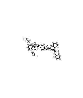 O=S(=O)(NC[C@H]1CC[C@H](CNc2nc(NCC3CCCCC3)c3ccccc3n2)CC1)c1cc(OCC(F)(F)F)ccc1OCC(F)(F)F